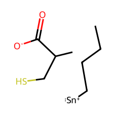 CC(CS)C(=O)[O-].CCC[CH2][Sn+]